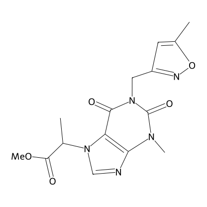 COC(=O)C(C)n1cnc2c1c(=O)n(Cc1cc(C)on1)c(=O)n2C